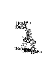 CC(OC(=O)CCc1cc(C(C)(C)C)c(O)c(C(C)(C)C)c1)N1CN(C(C)OC(=O)CCc2cc(C(C)(C)C)c(O)c(C(C)(C)C)c2)CN(C(C)OC(=O)CCc2cc(C(C)(C)C)c(O)c(C(C)(C)C)c2)C1